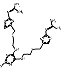 NC(N)=Nc1nc(CSCCNc2n[s+]([O-])nc2NCCSCc2csc(N=C(N)N)n2)cs1